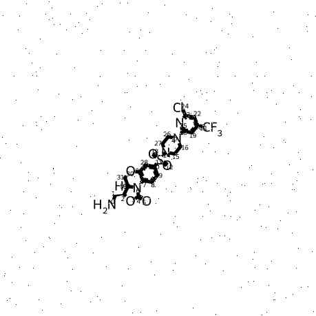 NC[C@@H]1OC(=O)N2c3ccc(S(=O)(=O)N4CCN(c5cc(C(F)(F)F)cc(Cl)n5)CC4)cc3OC[C@H]12